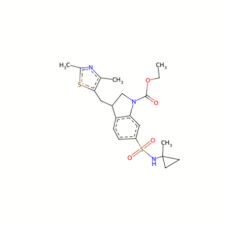 CCOC(=O)N1CC(Cc2sc(C)nc2C)c2ccc(S(=O)(=O)NC3(C)CC3)cc21